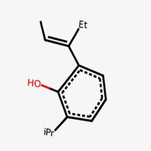 CC=C(CC)c1cccc(C(C)C)c1O